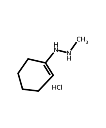 CNNC1=CCCCC1.Cl